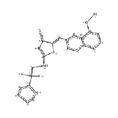 CCOc1ccnc2ccc(/C=C3\SC(NCC(F)(F)c4ccccn4)=NC3=O)cc12